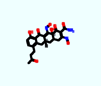 CC(=O)CCc1ccc(O)c2c1C[C@H]1CC3CC(N=O)=C(C(N)=O)C(=O)[C@@]3(O)C(N=O)=C1C2=O